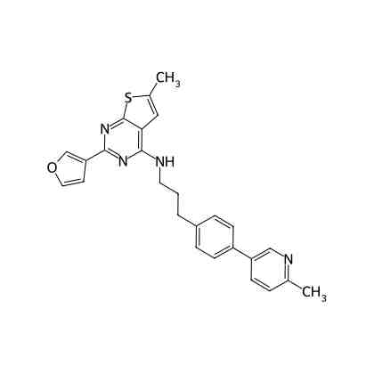 Cc1ccc(-c2ccc(CCCNc3nc(-c4ccoc4)nc4sc(C)cc34)cc2)cn1